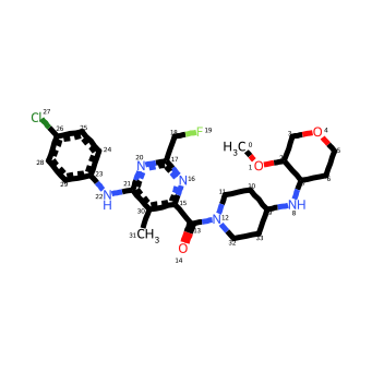 COC1COCCC1NC1CCN(C(=O)c2nc(CF)nc(Nc3ccc(Cl)cc3)c2C)CC1